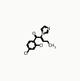 CCC=C(C(=O)c1ccc(Cl)cc1Cl)n1ccnc1